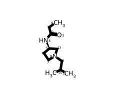 CCC(=O)N[C@@H]1CCN(C[C](C)C)C1